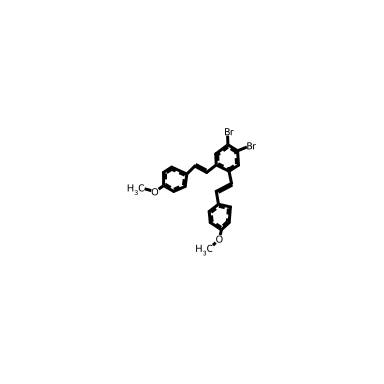 COc1ccc(C=Cc2cc(Br)c(Br)cc2C=Cc2ccc(OC)cc2)cc1